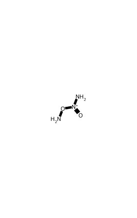 NO[N+](N)=O